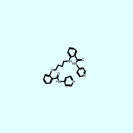 O=C(Nc1ccncc1)c1ccccc1NCCCCOc1ccccc1C(=O)Nc1ccncc1